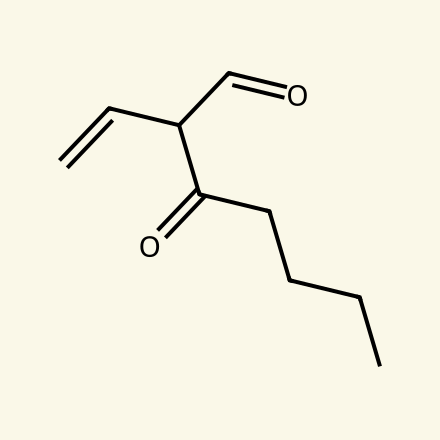 C=CC(C=O)C(=O)CCCC